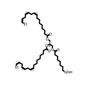 CC/C=C\C/C=C\C/C=C\CCCCCCCC(=O)OC[C@@H](COC(=O)CCCCCCCCCCCCCCCCC)OC(=O)CCCCCCC/C=C\C/C=C\C/C=C\CC